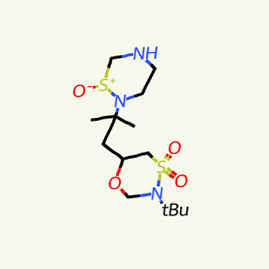 CC(C)(C)N1COC(CC(C)(C)N2CCNC[S+]2[O-])CS1(=O)=O